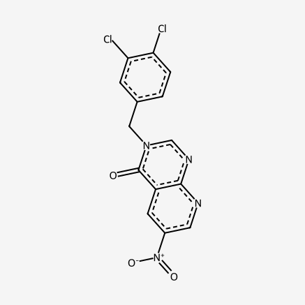 O=c1c2cc([N+](=O)[O-])cnc2ncn1Cc1ccc(Cl)c(Cl)c1